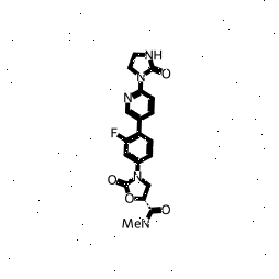 CNC(=O)[C@H]1CN(c2ccc(-c3ccc(N4CCNC4=O)nc3)c(F)c2)C(=O)O1